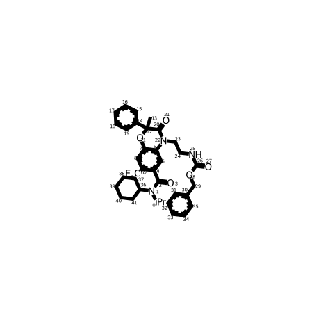 CC(C)N(C(=O)c1cc2c(cc1C(F)(F)F)OC(C)(c1ccccc1)C(=O)N2CCNC(=O)OCc1ccccc1)C1CCCCC1